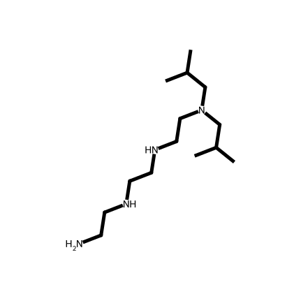 CC(C)CN(CCNCCNCCN)CC(C)C